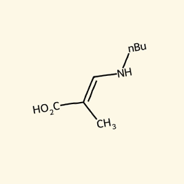 CCCCNC=C(C)C(=O)O